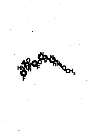 CCOCCNCc1ccc(-c2cc3nccc(Oc4ccc(NC(=O)C5(C(=O)Nc6ccc(F)cc6)CC5)cc4F)c3s2)nc1